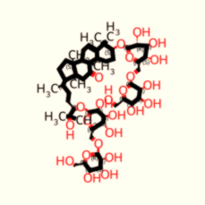 C[C@H](CC[C@@H](O[C@@H]1O[C@H](CO[C@@H]2O[C@H](CO)[C@@H](O)[C@H](O)[C@H]2O)[C@@H](O)[C@H](O)[C@H]1O)C(C)(C)O)C1CC[C@@]2(C)C3CC=C4C(CC[C@H](O[C@@H]5O[C@H](CO[C@@H]6O[C@H](CO)[C@@H](O)[C@H](O)[C@H]6O)[C@@H](O)[C@H](O)[C@H]5O)C4(C)C)[C@]3(C)C(=O)C[C@]12C